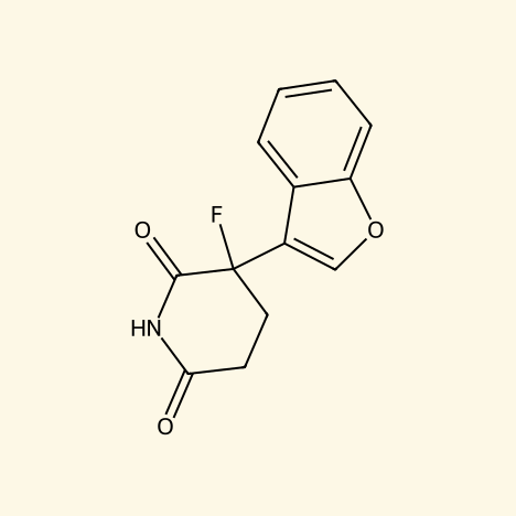 O=C1CCC(F)(c2coc3ccccc23)C(=O)N1